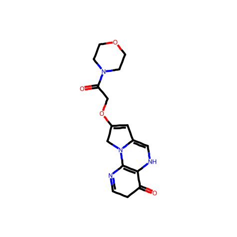 O=C1CC=NC2=C1NC=C1C=C(OCC(=O)N3CCOCC3)CN12